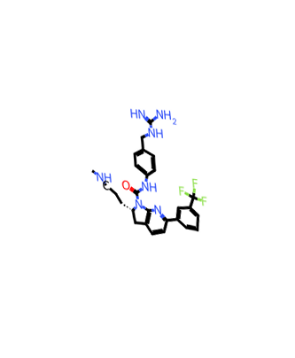 CNCCC[C@H]1Cc2ccc(-c3cccc(C(F)(F)F)c3)nc2N1C(=O)Nc1ccc(CNC(=N)N)cc1